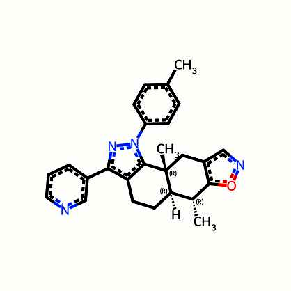 Cc1ccc(-n2nc(-c3cccnc3)c3c2[C@]2(C)Cc4cnoc4[C@H](C)[C@H]2CC3)cc1